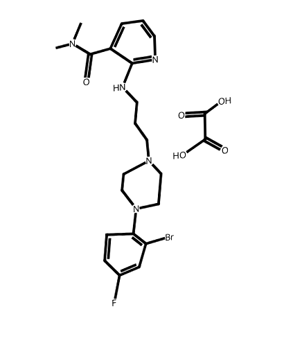 CN(C)C(=O)c1cccnc1NCCCN1CCN(c2ccc(F)cc2Br)CC1.O=C(O)C(=O)O